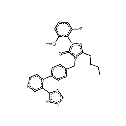 CCCCc1cn(-c2c(F)cccc2OC)c(=O)n1Cc1ccc(-c2ccncc2-c2nnn[nH]2)cc1